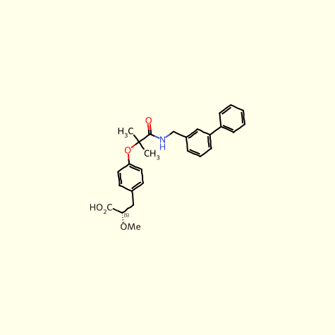 CO[C@@H](Cc1ccc(OC(C)(C)C(=O)NCc2cccc(-c3ccccc3)c2)cc1)C(=O)O